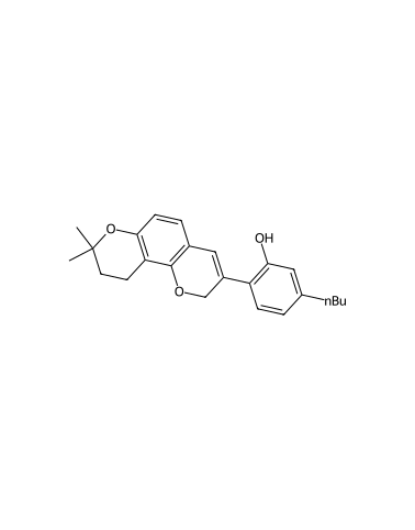 CCCCc1ccc(C2=Cc3ccc4c(c3OC2)CCC(C)(C)O4)c(O)c1